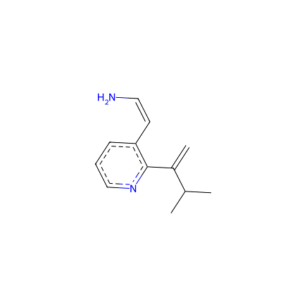 C=C(c1ncccc1/C=C\N)C(C)C